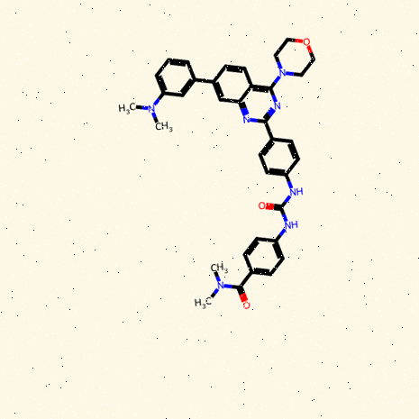 CN(C)C(=O)c1ccc(NC(=O)Nc2ccc(-c3nc(N4CCOCC4)c4ccc(-c5cccc(N(C)C)c5)cc4n3)cc2)cc1